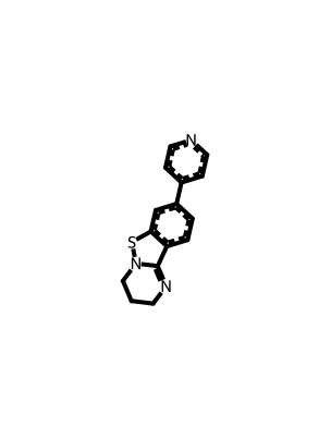 c1cc(-c2ccc3c(c2)SN2CCCN=C32)ccn1